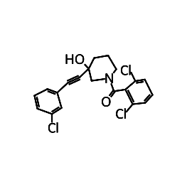 O=C(c1c(Cl)cccc1Cl)N1CCCC(O)(C#Cc2cccc(Cl)c2)C1